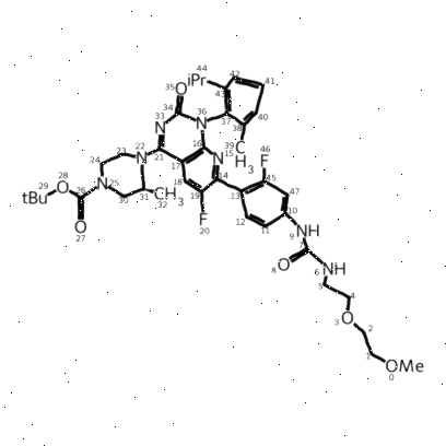 COCCOCCNC(=O)Nc1ccc(-c2nc3c(cc2F)c(N2CCN(C(=O)OC(C)(C)C)C[C@@H]2C)nc(=O)n3-c2c(C)cccc2C(C)C)c(F)c1